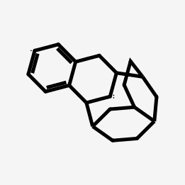 [C]1C2Cc3c[c]ccc3C1C1CCC3CC2CCC3C1